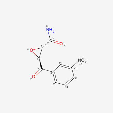 NC(=O)[C@H]1O[C@@H]1C(=O)c1cccc([N+](=O)[O-])c1